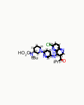 CC(C)C(=O)c1cnc2ccc(Cl)nc2c1Nc1ccc(N2CCC[C@@H](N(C(=O)O)C(C)(C)C)C2)nc1